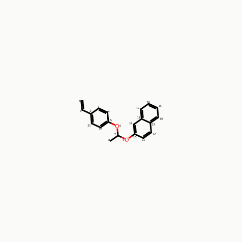 C=Cc1ccc(OC(C)Oc2ccc3ccccc3c2)cc1